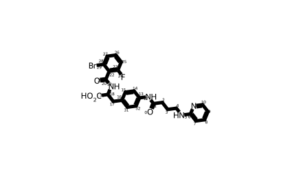 O=C(CCCNc1ccccn1)Nc1ccc(CC(NC(=O)c2c(F)cccc2Br)C(=O)O)cc1